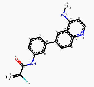 C=C(F)C(=O)Nc1cccc(-c2ccc3nccc(NC)c3c2)c1